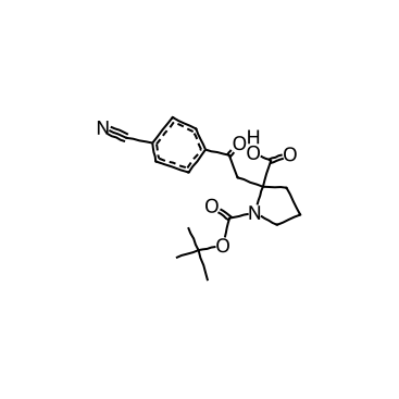 CC(C)(C)OC(=O)N1CCCC1(CC(=O)c1ccc(C#N)cc1)C(=O)O